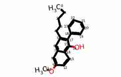 CCCCCc1cc2cc(OC)ccc2c(O)c1-c1ccccc1